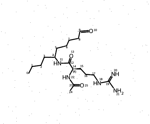 CCCCC(CCCC[C]=O)NC(=O)[C@@H](CCCNC(=N)N)NC(C)=O